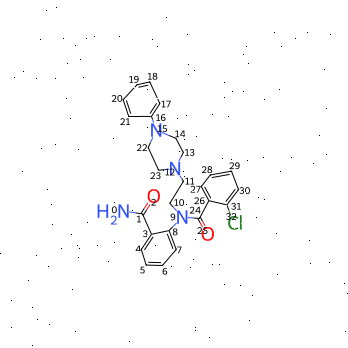 NC(=O)c1ccccc1N(CCN1CCN(c2ccccc2)CC1)C(=O)c1ccccc1Cl